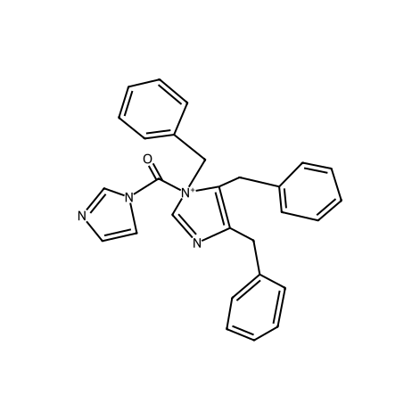 O=C(n1ccnc1)[N+]1(Cc2ccccc2)C=NC(Cc2ccccc2)=C1Cc1ccccc1